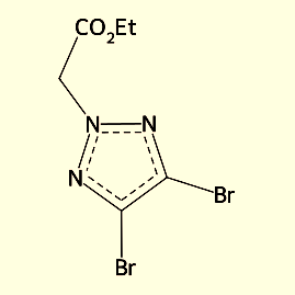 CCOC(=O)Cn1nc(Br)c(Br)n1